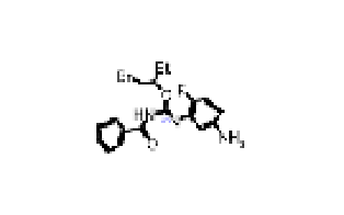 CCC(CBr)O/C(=N\c1cc(N)ccc1F)NC(=O)c1ccccc1